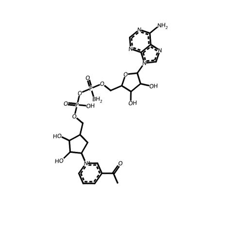 BP(=O)(OCC1OC(n2cnc3c(N)ncnc32)C(O)C1O)OP(=O)(O)OCC1CC([n+]2cccc(C(C)=O)c2)C(O)C1O